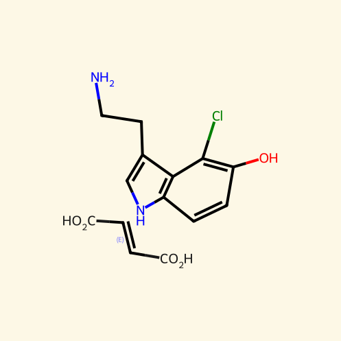 NCCc1c[nH]c2ccc(O)c(Cl)c12.O=C(O)/C=C/C(=O)O